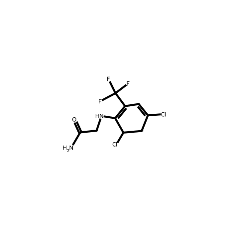 NC(=O)CNC1=C(C(F)(F)F)C=C(Cl)[CH]C1Cl